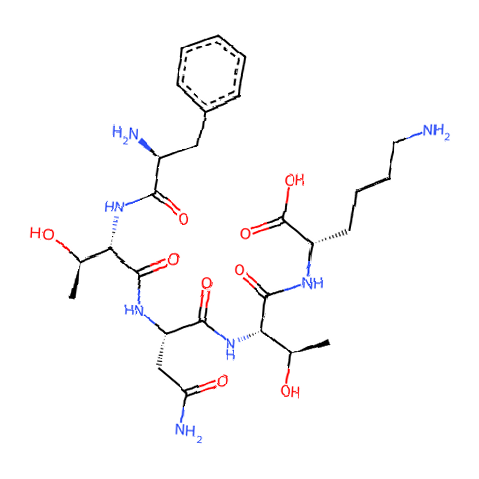 C[C@@H](O)[C@H](NC(=O)[C@H](CC(N)=O)NC(=O)[C@@H](NC(=O)[C@@H](N)Cc1ccccc1)[C@@H](C)O)C(=O)N[C@@H](CCCCN)C(=O)O